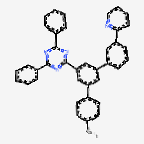 Cc1ccc(-c2cc(-c3cccc(-c4ccccn4)c3)cc(-c3nc(-c4ccccc4)nc(-c4ccccc4)n3)c2)cc1